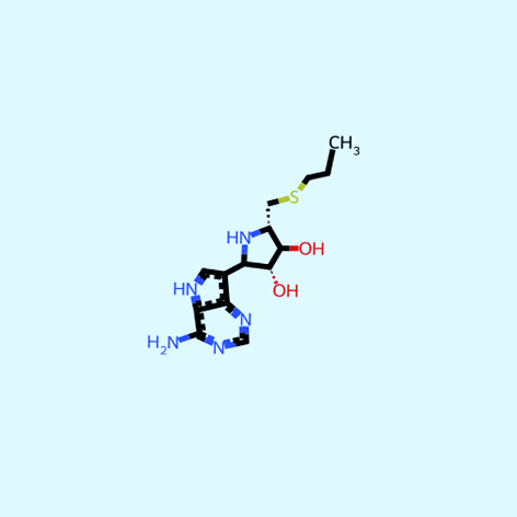 CCCSC[C@H]1NC(c2c[nH]c3c(N)ncnc23)[C@@H](O)C1O